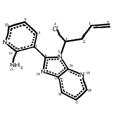 C=CCC(Cl)n1c(-c2cccnc2N)nc2cccnc21